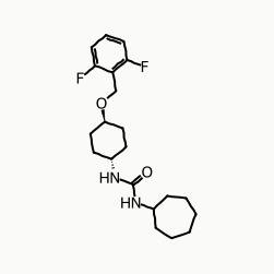 O=C(NC1CCCCCC1)N[C@H]1CC[C@H](OCc2c(F)cccc2F)CC1